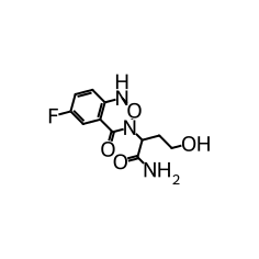 NC(=O)C(CCO)N1ONc2ccc(F)cc2C1=O